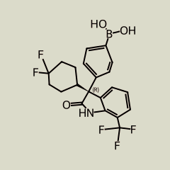 O=C1Nc2c(C(F)(F)F)cccc2[C@]1(c1ccc(B(O)O)cc1)C1CCC(F)(F)CC1